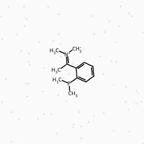 [CH2-]/[N+](C)=C(/C)c1ccccc1P(C)C